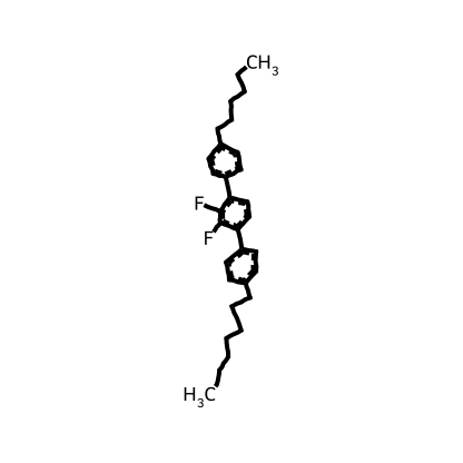 CCCCCCCCc1ccc(-c2ccc(-c3ccc(CCCCCC)cc3)c(F)c2F)cc1